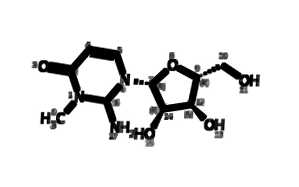 CN1C(=O)C=CN([C@@H]2O[C@H](CO)[C@@H](O)[C@H]2O)C1N